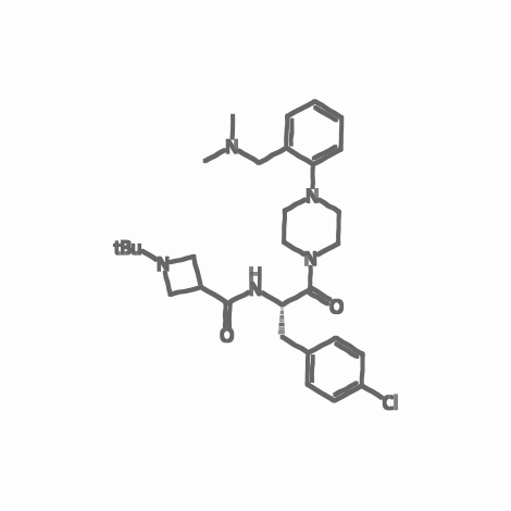 CN(C)Cc1ccccc1N1CCN(C(=O)[C@H](Cc2ccc(Cl)cc2)NC(=O)C2CN(C(C)(C)C)C2)CC1